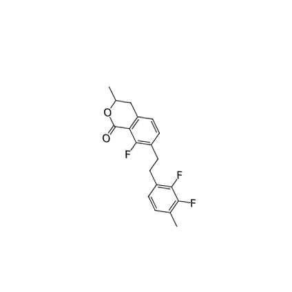 Cc1ccc(CCc2ccc3c(c2F)C(=O)OC(C)C3)c(F)c1F